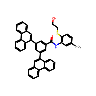 O=C(Nc1cc([N+](=O)[O-])ccc1SCCO)c1cc(-c2cc3ccccc3c3ccccc23)cc(-c2cc3ccccc3c3ccccc23)c1